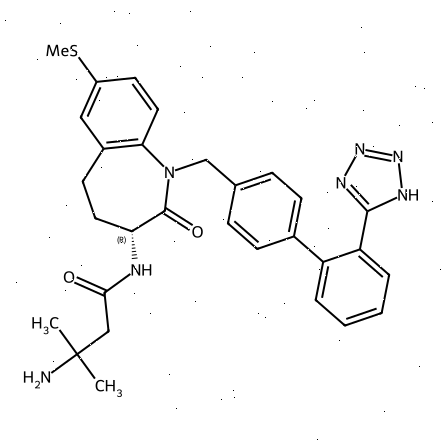 CSc1ccc2c(c1)CC[C@@H](NC(=O)CC(C)(C)N)C(=O)N2Cc1ccc(-c2ccccc2-c2nnn[nH]2)cc1